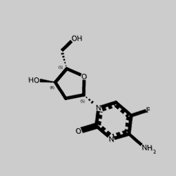 Nc1nc(=O)n([C@@H]2C[C@@H](O)[C@H](CO)O2)cc1F